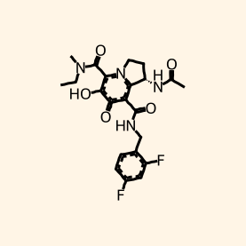 CCN(C)C(=O)c1c(O)c(=O)c(C(=O)NCc2ccc(F)cc2F)c2n1CC[C@@H]2NC(C)=O